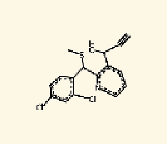 C#CC(O)c1cccnc1C(SC)c1ccc(Cl)cc1Cl